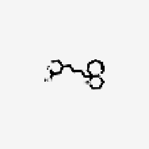 CCC(CCCCC12CCCC=CN1CCCN2)CC(=O)O